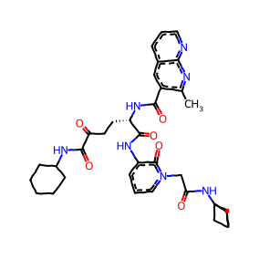 Cc1nc2ncccc2cc1C(=O)N[C@@H](CCC(=O)C(=O)NC1CCCCC1)C(=O)Nc1cccn(CC(=O)NC23CC(C2)C3)c1=O